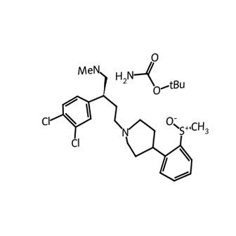 CC(C)(C)OC(N)=O.CNC[C@@H](CCN1CCC(c2ccccc2[S@+](C)[O-])CC1)c1ccc(Cl)c(Cl)c1